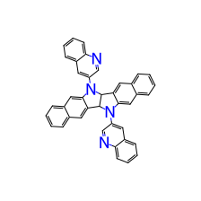 c1ccc2cc3c(cc2c1)C1C(c2cc4ccccc4cc2N1c1cnc2ccccc2c1)N3c1cnc2ccccc2c1